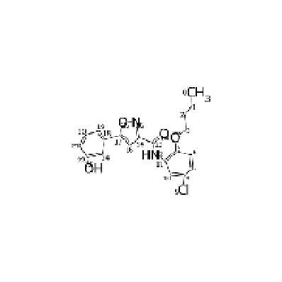 CCCCOc1ccc(Cl)cc1NC(=O)c1cc(-c2cccc(O)c2)on1